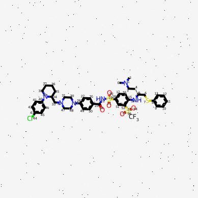 CN(C)CC[C@H](CSc1ccccc1)Nc1ccc(S(=O)(=O)NC(=O)c2ccc(N3CCN(CC4CCCCN4c4ccc(Cl)cc4)CC3)cc2)cc1S(=O)(=O)C(F)(F)F